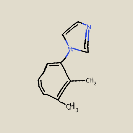 Cc1cccc(-n2ccnc2)c1C